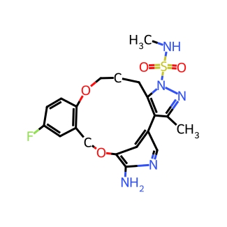 CNS(=O)(=O)n1nc(C)c2c1CCCOc1ccc(F)cc1COc1cc-2cnc1N